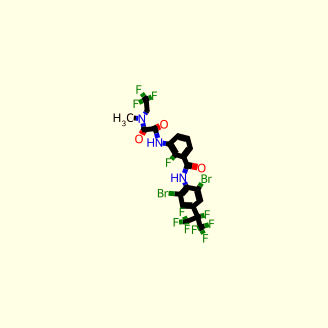 CN(CC(F)(F)F)C(=O)C(=O)Nc1cccc(C(=O)Nc2c(Br)cc(C(F)(C(F)(F)F)C(F)(F)F)cc2Br)c1F